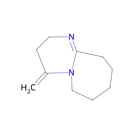 C=C1CCN=C2CCCCCN12